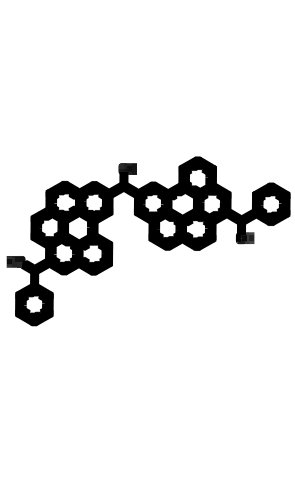 OC(c1cc2ccc3ccc4c(C(O)c5ccccc5)cc5cccc6c(c1)c2c3c4c56)c1cc2ccc3ccc4c(C(O)c5ccccc5)cc5cccc6c(c1)c2c3c4c56